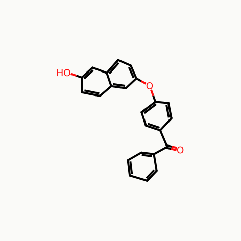 O=C(c1ccccc1)c1ccc(Oc2ccc3cc(O)ccc3c2)cc1